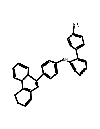 Nc1ccc(-c2ccccc2Nc2ccc(C3=CC4=C(CCC=C4)C4C=CC=CC34)cc2)cc1